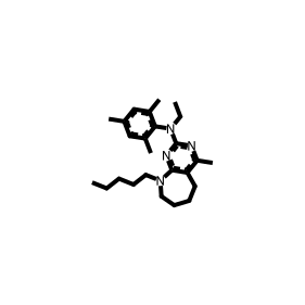 CCCCCN1CCCCc2c(C)nc(N(CC)c3c(C)cc(C)cc3C)nc21